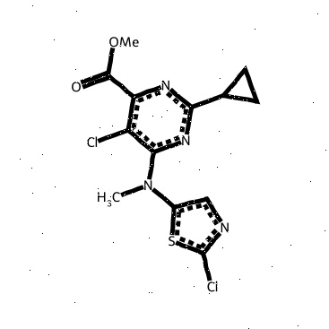 COC(=O)c1nc(C2CC2)nc(N(C)c2cnc(Cl)s2)c1Cl